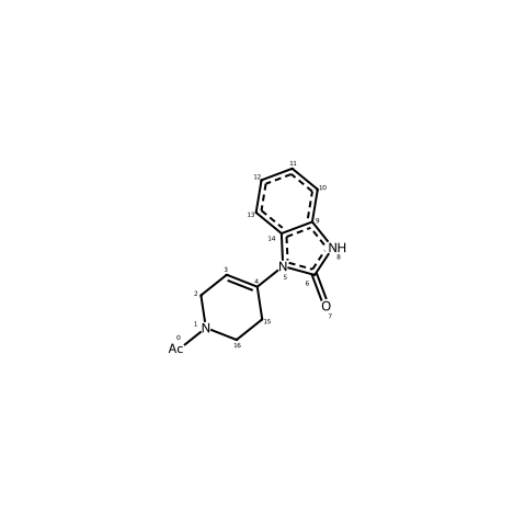 CC(=O)N1CC=C(n2c(=O)[nH]c3ccccc32)CC1